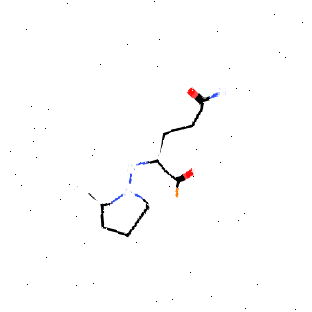 CC(=O)[C@@H]1CCCN1N[C@@H](CCC(N)=O)C(=O)P